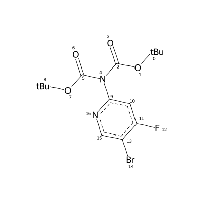 CC(C)(C)OC(=O)N(C(=O)OC(C)(C)C)c1cc(F)c(Br)cn1